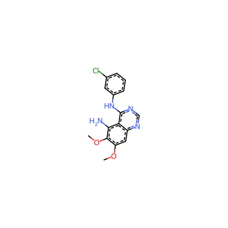 COc1cc2ncnc(Nc3cccc(Cl)c3)c2c(N)c1OC